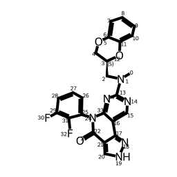 CN(C[C@H]1COc2ccccc2O1)c1ncc2c3n[nH]cc3c(=O)n(-c3cccc(F)c3F)c2n1